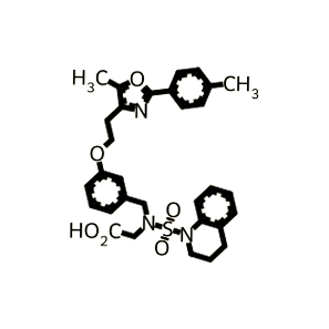 Cc1ccc(-c2nc(CCOc3cccc(CN(CC(=O)O)S(=O)(=O)N4CCCc5ccccc54)c3)c(C)o2)cc1